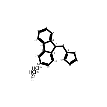 C1=CCC(CC2c3ccccc3-c3ccccc32)=C1.Cl.Cl.[Zr]